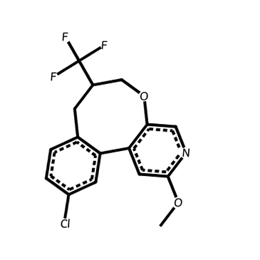 COc1cc2c(cn1)OCC(C(F)(F)F)Cc1ccc(Cl)cc1-2